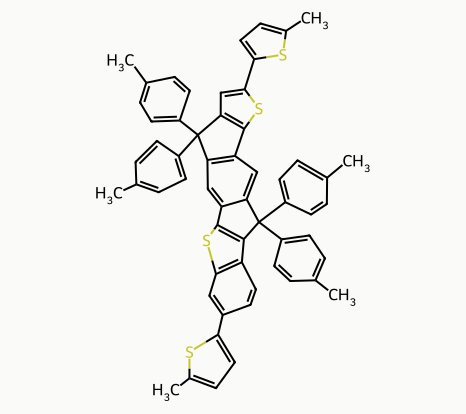 Cc1ccc(C2(c3ccc(C)cc3)c3cc4c(cc3-c3sc(-c5ccc(C)s5)cc32)C(c2ccc(C)cc2)(c2ccc(C)cc2)c2c-4sc3cc(-c4ccc(C)s4)ccc23)cc1